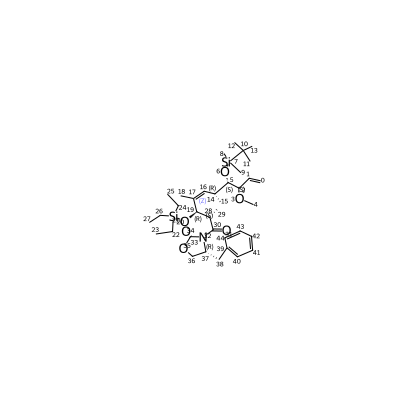 C=C[C@H](OC)[C@@H](O[Si](C)(C)C(C)(C)C)[C@H](C)/C=C(/C)[C@H](O[Si](CC)(CC)CC)[C@H](C)C(=O)N1C(=O)OC[C@H]1Cc1ccccc1